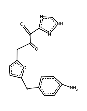 Nc1ccc(Sc2ccc(CC(=O)C(=O)c3nc[nH]n3)o2)cc1